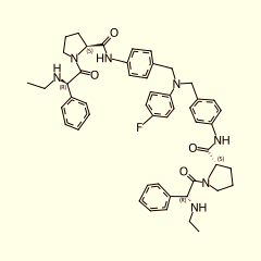 CCN[C@@H](C(=O)N1CCC[C@H]1C(=O)Nc1ccc(CN(Cc2ccc(NC(=O)[C@@H]3CCCN3C(=O)[C@H](NCC)c3ccccc3)cc2)c2ccc(F)cc2)cc1)c1ccccc1